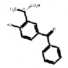 C[C@H](C(=O)O)c1cc(C(=O)c2ccccc2)ccc1O